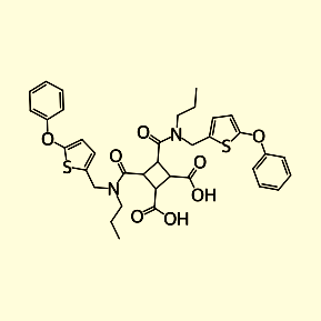 CCCN(Cc1ccc(Oc2ccccc2)s1)C(=O)C1C(C(=O)O)C(C(=O)O)C1C(=O)N(CCC)Cc1ccc(Oc2ccccc2)s1